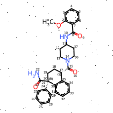 COc1ccccc1C(=O)NC1CCN(C(=O)[C@H]2CC[C@@](C(N)=O)(c3ccccc3)c3ccccc32)CC1